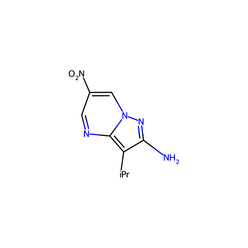 CC(C)c1c(N)nn2cc([N+](=O)[O-])cnc12